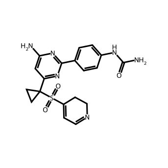 NC(=O)Nc1ccc(-c2nc(N)cc(C3(S(=O)(=O)C4=CC=NCC4)CC3)n2)cc1